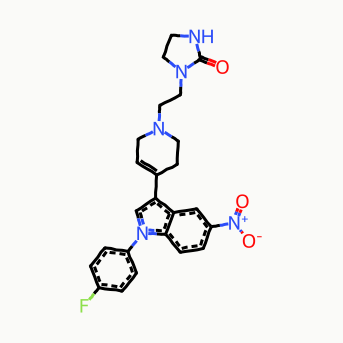 O=C1NCCN1CCN1CC=C(c2cn(-c3ccc(F)cc3)c3ccc([N+](=O)[O-])cc23)CC1